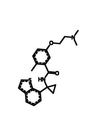 Cc1ccc(OCCN(C)C)cc1C(=O)NC1(c2cccc3ccsc23)CC1